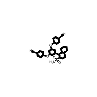 N#Cc1ccc(Oc2cc(Oc3ccc(C#N)cc3)cc(-c3c(S(N)(=O)=O)ccc4ccccc34)c2)cc1